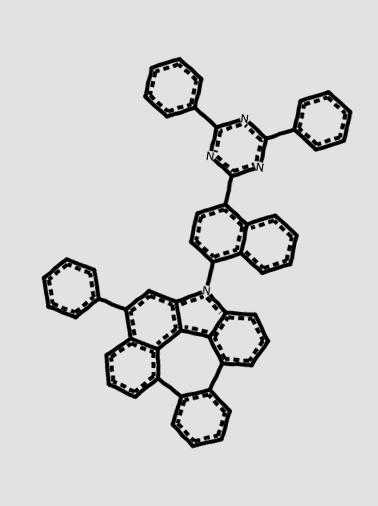 c1ccc(-c2nc(-c3ccccc3)nc(-c3ccc(-n4c5cccc6c5c5c7c(cccc7c(-c7ccccc7)cc54)-c4ccccc4-6)c4ccccc34)n2)cc1